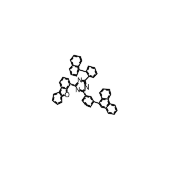 c1cc(-c2nc(-c3ccccc3-c3cccc4ccccc34)nc(-c3cccc4c3oc3ccccc34)n2)cc(-c2cc3ccccc3c3ccccc23)c1